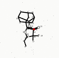 CCCOC(=O)C12CC3CC(C1)C(OC(=O)C(C)(F)F)C(C3)C2